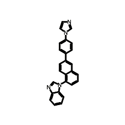 c1cc(-n2cnc3ccccc32)c2ccc(-c3ccc(-n4ccnc4)cc3)cc2c1